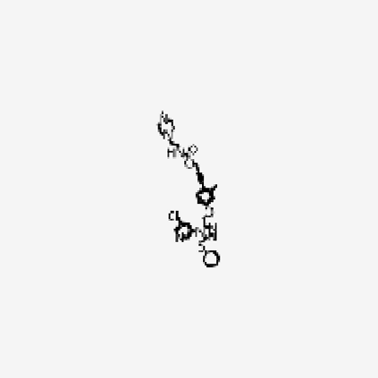 Cc1cc(OCc2nnc(SC3C=CCCC3)n2-c2cncc(Cl)c2)ccc1C#CCOC(=O)NCCN1CCN(C)CC1